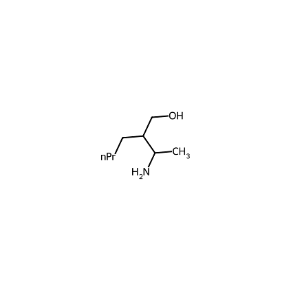 CCCCC(CO)C(C)N